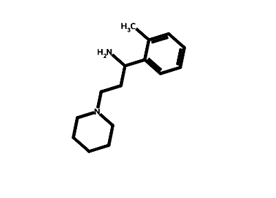 Cc1ccccc1C(N)CCN1CCCCC1